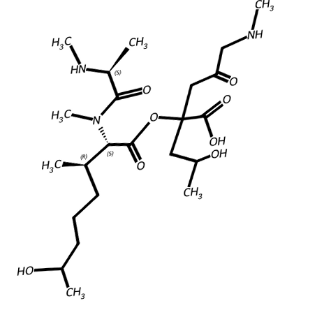 CNCC(=O)CC(CC(C)O)(OC(=O)[C@H]([C@H](C)CCCC(C)O)N(C)C(=O)[C@H](C)NC)C(=O)O